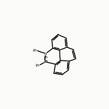 CC(C)N(c1cccc2ccc3cccc(N(C(C)C)C(C)C)c3c12)C(C)C